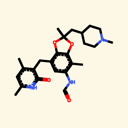 Cc1cc(C)c(Cc2cc(NC=O)c(C)c3c2OC(C)(CC2CCN(C)CC2)O3)c(=O)[nH]1